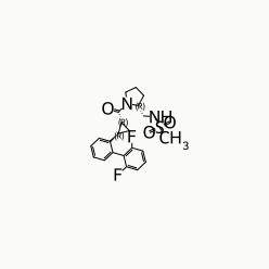 CS(=O)(=O)NC[C@H]1CCCN1C(=O)[C@@H]1C[C@H]1c1ccccc1-c1c(F)cccc1F